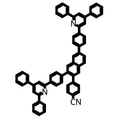 N#Cc1ccc(-c2cc3ccc(-c4ccc(-c5cc(-c6ccccc6)cc(-c6ccccc6)n5)cc4)cc3cc2-c2ccc(-c3cc(-c4ccccc4)cc(-c4ccccc4)n3)cc2)cc1